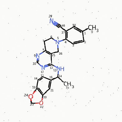 Cc1ccc(N2CCc3ncnc(NC(C)c4ccc5c(c4)OCO5)c3C2)c(C#N)c1